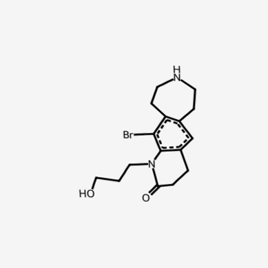 O=C1CCc2cc3c(c(Br)c2N1CCCO)CCNCC3